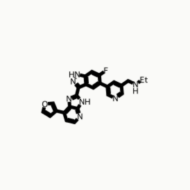 CCNCc1cncc(-c2cc3c(-c4nc5c(-c6ccoc6)ccnc5[nH]4)n[nH]c3cc2F)c1